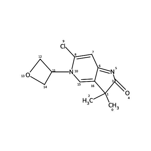 CC1(C)C(=O)N=C2C=C(Cl)N(C3COC3)C=C21